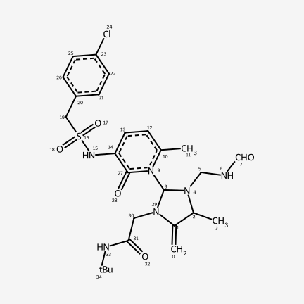 C=C1C(C)N(CNC=O)C(n2c(C)ccc(NS(=O)(=O)Cc3ccc(Cl)cc3)c2=O)N1CC(=O)NC(C)(C)C